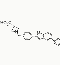 O=C(O)C1CN(Cc2ccc(-c3cc4cc(-c5cccs5)ccc4o3)cc2)C1